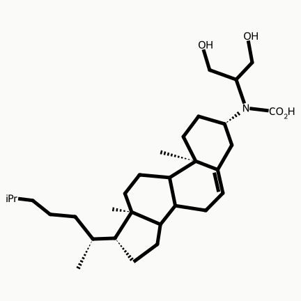 CC(C)CCC[C@@H](C)[C@H]1CCC2C3CC=C4C[C@@H](N(C(=O)O)C(CO)CO)CC[C@]4(C)C3CC[C@@]21C